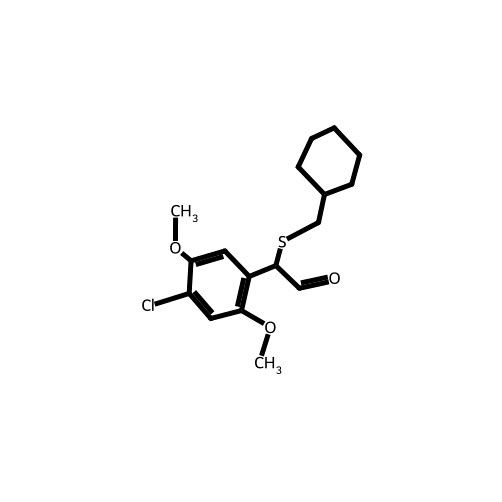 COc1cc(C(C=O)SCC2CCCCC2)c(OC)cc1Cl